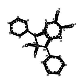 O=c1oc2c(oc1=O)=C(c1ccccc1)S(=O)(=O)C=2c1ccccc1